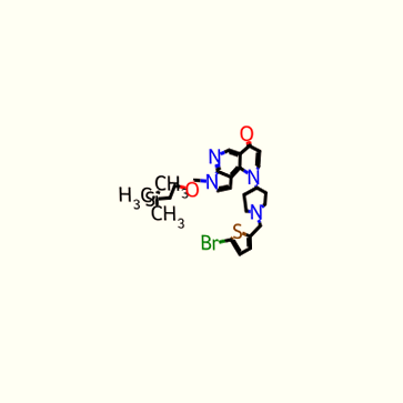 C[Si](C)(C)CCOCn1ccc2c1ncc1c(=O)ccn(C3CCN(Cc4ccc(Br)s4)CC3)c12